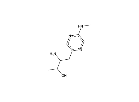 CNc1cnc(CC(N)C(C)O)cn1